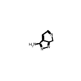 NC1=NN=C2CN=CC=C12